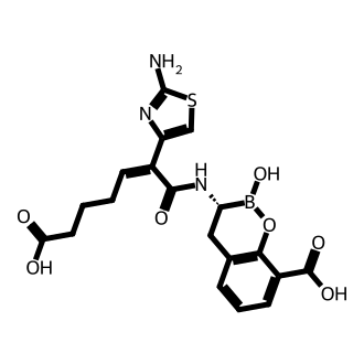 Nc1nc(/C(=C/CCCC(=O)O)C(=O)N[C@H]2Cc3cccc(C(=O)O)c3OB2O)cs1